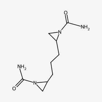 NC(=O)N1CC1CCCC1CN1C(N)=O